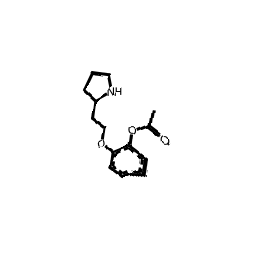 CC(=O)Oc1ccccc1OCCC1CCCN1